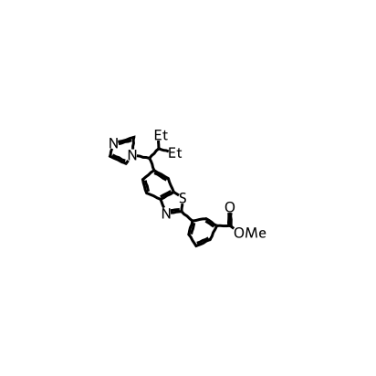 CCC(CC)C(c1ccc2nc(-c3cccc(C(=O)OC)c3)sc2c1)n1ccnc1